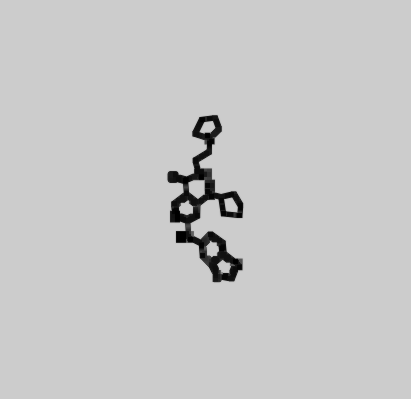 O=C(NCCN1CCCC1)c1cnc(Nc2ccc3ncsc3c2)cc1NC1CCCC1